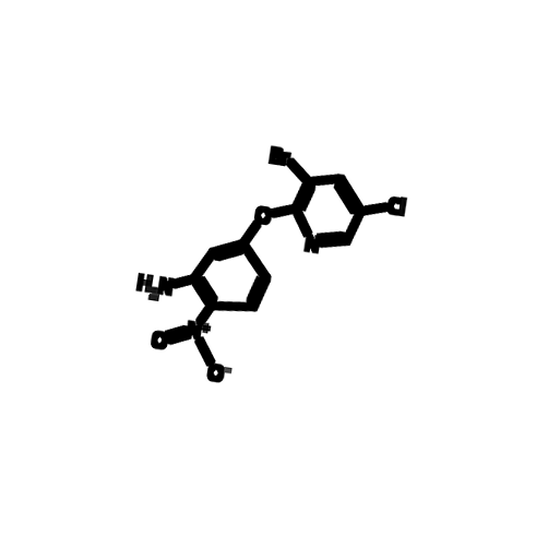 Nc1cc(Oc2ncc(Cl)cc2Br)ccc1[N+](=O)[O-]